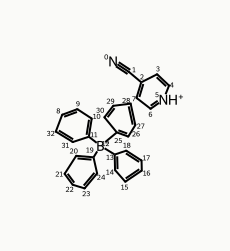 N#Cc1cc[nH+]cc1.c1ccc([B-](c2ccccc2)(c2ccccc2)c2ccccc2)cc1